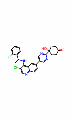 CC(Nc1c(Cl)cnc2ccc(-c3cnc(C4(O)CCC(=O)CC4)nc3)cc12)c1ccccc1F